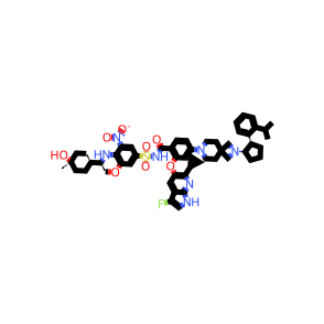 CC(C)c1ccccc1[C@@H]1CCC[C@@H]1N1CC2(CCN(c3ccc(C(=O)NS(=O)(=O)c4cc5c(c([N+](=O)[O-])c4)N[C@@H]([C@H]4CC[C@](C)(O)CC4)CO5)c(Oc4cc5c(F)c[nH]c5nc4C4CC4)c3)CC2)C1